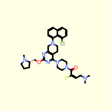 CN(C)C/C=C(/F)C(=O)N1CCN(c2nc(OC[C@@H]3CCCN3C)nc3c2CCN(c2cccc4cccc(Cl)c24)C3)CC1